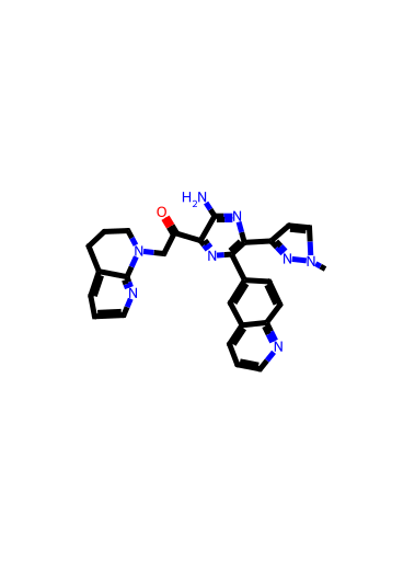 Cn1ccc(-c2nc(N)c(C(=O)CN3CCCc4cccnc43)nc2-c2ccc3ncccc3c2)n1